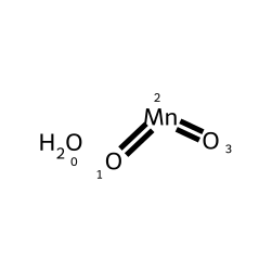 O.[O]=[Mn]=[O]